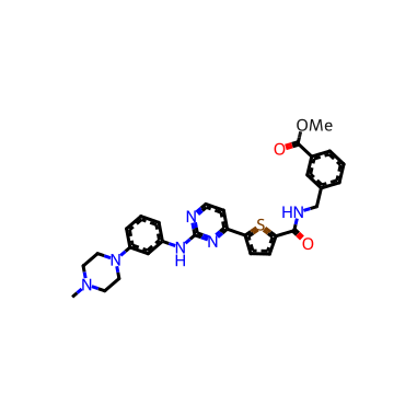 COC(=O)c1cccc(CNC(=O)c2ccc(-c3ccnc(Nc4cccc(N5CCN(C)CC5)c4)n3)s2)c1